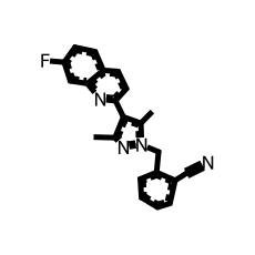 Cc1nn(Cc2ccccc2C#N)c(C)c1-c1ccc2ccc(F)cc2n1